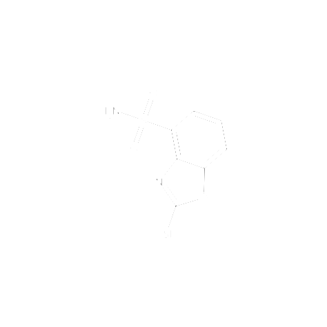 NS(=O)(=O)c1cccc2oc(S)nc12